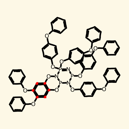 c1ccc(Oc2ccc(ON3P(Oc4ccc(Oc5ccccc5)cc4)N=P(Oc4ccc(Oc5ccccc5)cc4)(Oc4ccc(Oc5ccccc5)cc4)N(Oc4ccc(Oc5ccccc5)cc4)P3Oc3ccc(Oc4ccccc4)cc3)cc2)cc1